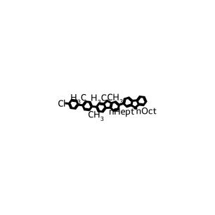 CCCCCCCCC1(CCCCCCC)c2ccccc2-c2ccc(-c3ccc4c(c3)C(C)(C)c3cc(-c5cc(C)c(-c6ccc(Cl)cc6)cc5C)ccc3-4)cc21